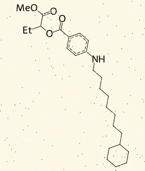 CCC(OC(=O)c1ccc(NCCCCCCCCC2CCCCC2)cc1)C(=O)OC